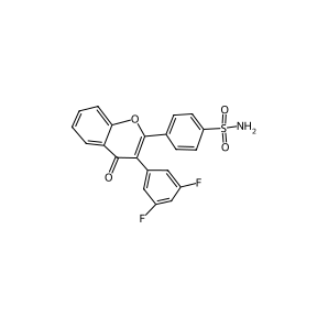 NS(=O)(=O)c1ccc(-c2oc3ccccc3c(=O)c2-c2cc(F)cc(F)c2)cc1